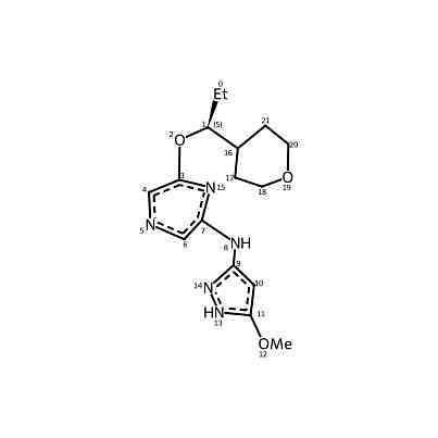 CC[C@H](Oc1cncc(Nc2cc(OC)[nH]n2)n1)C1CCOCC1